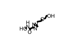 O=C(NO)c1ncn(CCOCCO)n1